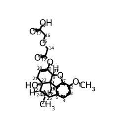 COc1ccc2c3c1O[C@H]1C(OC(=O)COCC(=O)O)=CC[C@@]4(O)[C@@H](C2)N(C)CC[C@]314